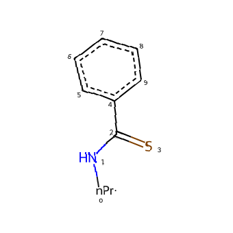 CC[CH]NC(=S)c1ccccc1